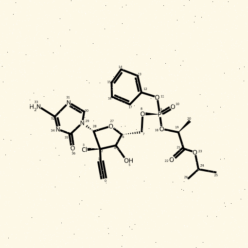 C#C[C@@]1(Cl)C(O)[C@@H](CO[P@](=O)(Oc2ccccc2)O[C@@H](C)C(=O)OC(C)C)O[C@H]1n1cnc(N)nc1=O